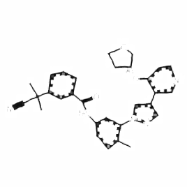 Cc1ccc(NC(=O)c2cccc(C(C)(C)C#N)c2)cc1-n1cc(-c2cnccc2O[C@@H]2CCOC2)cn1